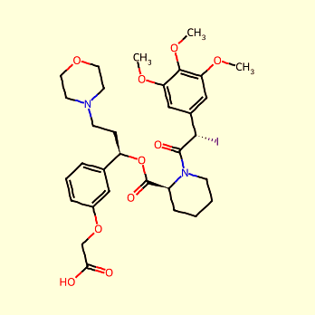 COc1cc([C@H](I)C(=O)N2CCCC[C@H]2C(=O)O[C@H](CCN2CCOCC2)c2cccc(OCC(=O)O)c2)cc(OC)c1OC